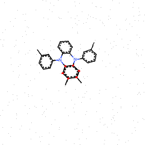 Cc1cccc(N(c2cccc(C)c2)c2ccccc2N(c2cccc(C)c2)c2cccc(C)c2)c1